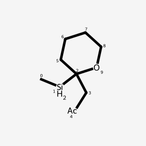 C[SiH2]C1(CC(C)=O)CCCCO1